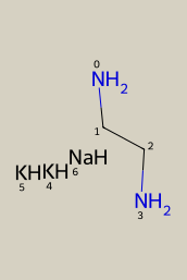 NCCN.[KH].[KH].[NaH]